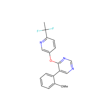 COc1ccccc1-c1cncnc1Oc1ccc(C(C)(F)F)nc1